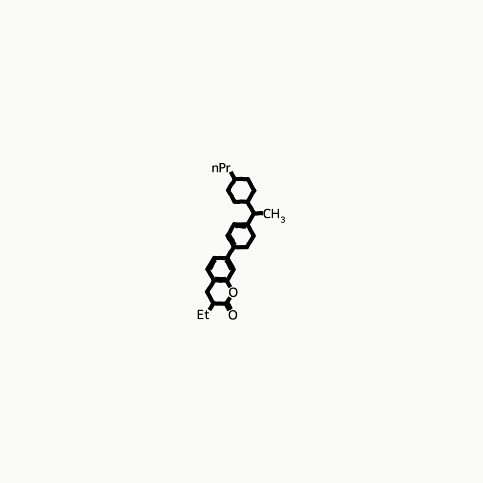 CCCC1CCC(C(C)C2=CC=C(c3ccc4c(c3)OC(=O)C(CC)C4)CC2)CC1